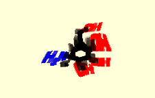 C[C@]1(N)CC(CO)C(O)C(O)C1O